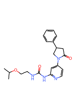 CC(C)OCCNC(=O)Nc1cc(N2CC(c3ccccc3)CC2=O)ccn1